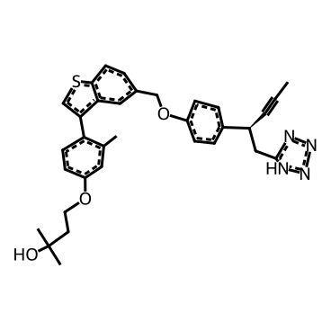 CC#C[C@@H](Cc1nnn[nH]1)c1ccc(OCc2ccc3scc(-c4ccc(OCCC(C)(C)O)cc4C)c3c2)cc1